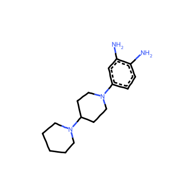 Nc1ccc(N2CCC(N3CCCCC3)CC2)cc1N